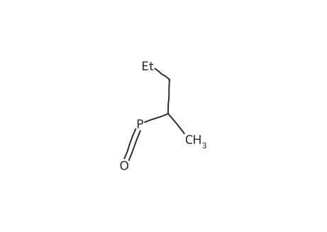 [CH2]CCC(C)P=O